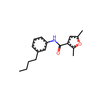 CCCCc1cccc(NC(=O)c2cc(C)oc2C)c1